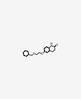 O=C1CCc2cc(OCCOCc3ccccc3)ccc2N1